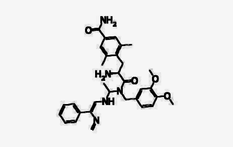 C=N/C(=C\NC(C)N(Cc1ccc(OC)c(OC)c1)C(=O)[C@@H](N)Cc1c(C)cc(C(N)=O)cc1C)c1ccccc1